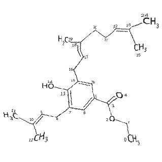 CCOC(=O)c1cc(CC=C(C)C)c(O)c(C/C=C(\C)CCC=C(C)C)c1